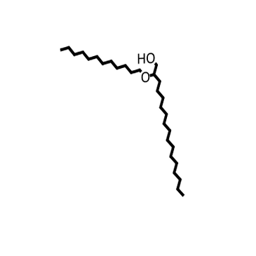 CCCCCCCCCCCCCCCC(CO)OCCCCCCCCCCCC